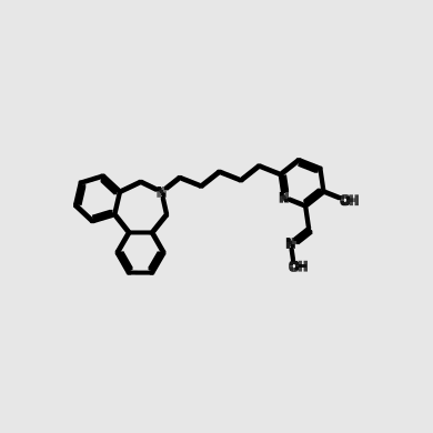 ON=Cc1nc(CCCCCN2Cc3ccccc3C3C=CC=CC3C2)ccc1O